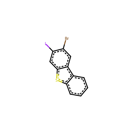 Brc1cc2c(cc1I)sc1ccccc12